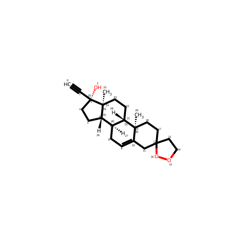 C#C[C@]1(O)CC[C@H]2[C@@H]3CC=C4CC5(CCOO5)CC[C@]4(C)[C@H]3CC[C@@]21C